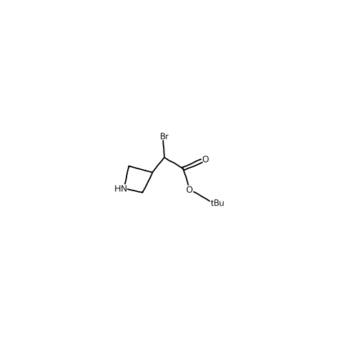 CC(C)(C)OC(=O)C(Br)C1CNC1